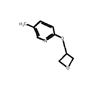 Cc1ccc(OC2COC2)nc1